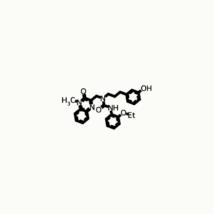 CCOc1ccccc1NC(=O)N(CCCc1cccc(O)c1)Cc1nc2ccccc2n(C)c1=O